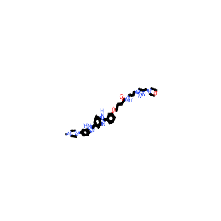 CN1CCN(c2ccc3nc(-c4ccc5[nH]c(-c6cccc(OCCCC(=O)NCCCn7cc(CN8CCOCC8)nn7)c6)nc5c4)[nH]c3c2)CC1